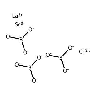 [Cr+3].[La+3].[O-]B([O-])[O-].[O-]B([O-])[O-].[O-]B([O-])[O-].[Sc+3]